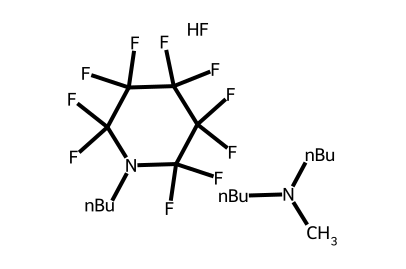 CCCCN(C)CCCC.CCCCN1C(F)(F)C(F)(F)C(F)(F)C(F)(F)C1(F)F.F